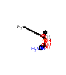 CCCCCCCCCCCCCCCCCCOC[C@](C)(COP(=O)(O)OC[C@H]1O[C@@](C#N)(c2ccc3c(N)ccnn23)[C@H](O)[C@@H]1O)OCc1ccccc1